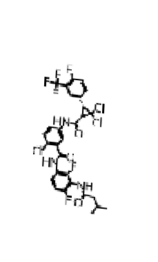 CC(C)CC(=O)Nc1c(F)ccc(NC(=O)c2cc(NC(=O)[C@H]3[C@H](c4ccc(F)c(C(F)(F)F)c4)C3(Cl)Cl)ccc2Cl)c1F